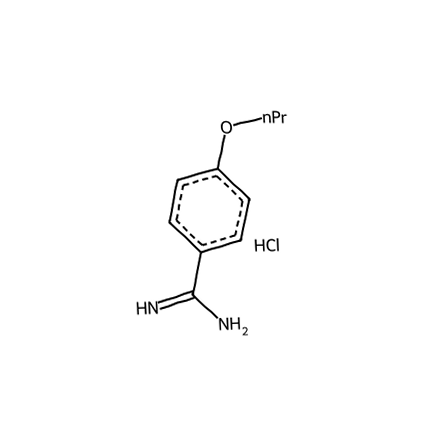 CCCOc1ccc(C(=N)N)cc1.Cl